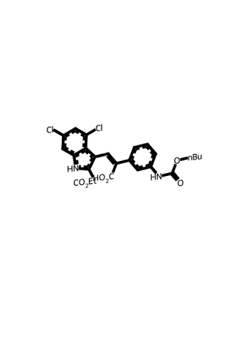 CCCCOC(=O)Nc1cccc(C(=Cc2c(C(=O)OCC)[nH]c3cc(Cl)cc(Cl)c23)C(=O)O)c1